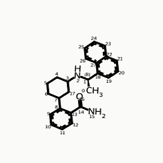 C[C@@H](NC1CCCC(c2ccccc2C(N)=O)C1)c1cccc2ccccc12